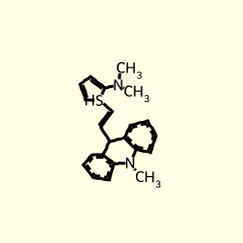 CN(C)C1=CC=C[SH]1/C=C/C1c2ccccc2N(C)c2ccccc21